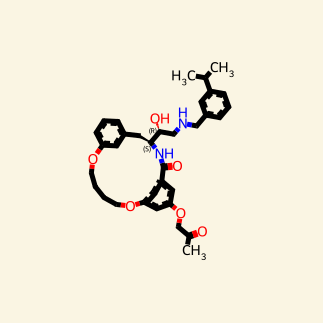 CC(=O)COc1cc2cc(c1)C(=O)N[C@H]([C@H](O)CNCc1cccc(C(C)C)c1)Cc1cccc(c1)OCCCCO2